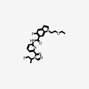 CCOCCn1ccc2cc(F)c(C(=O)Nc3cccc(-c4nncn4C(C)CF)n3)cc21